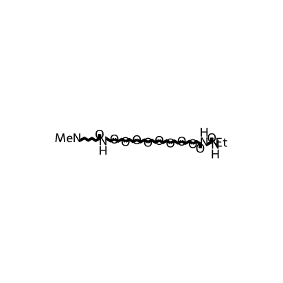 CCNC(=O)CNC(=O)COCCOCCOCCOCCOCCOCCOCCOCCNC(=O)CCCCCNC